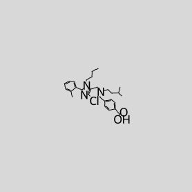 CCCCn1c(-c2ccccc2C)nc(Cl)c1CN(CCC(C)C)Cc1ccc(C(=O)O)cc1